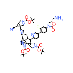 CC(C)(C)OC(=O)N1CC2C(C#N)C2(CCCCC(C(c2ccc(-c3ccc(N4C[C@H](CN)OC4=O)cc3F)cn2)C23CN(C(=O)OC(C)(C)C)CC2C3C#N)C23CN(C(=O)OC(C)(C)C)CC2C3C#N)C1